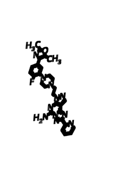 Cc1nc(-c2ccc(F)c(N3CCN(CCn4ncc5c4nc(N)n4nc(-c6ccccn6)nc54)CC3)c2)c(C)o1